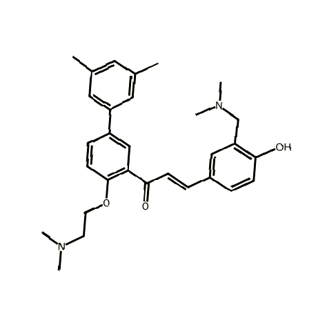 Cc1cc(C)cc(-c2ccc(OCCN(C)C)c(C(=O)C=Cc3ccc(O)c(CN(C)C)c3)c2)c1